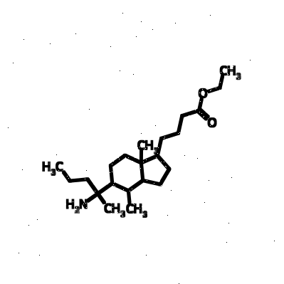 CCCC(C)(N)C1CCC2(C)C(CCCC(=O)OCC)CCC2C1C